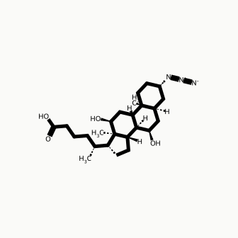 C[C@H](CCCC(=O)O)[C@H]1CC[C@H]2[C@@H]3[C@H](O)C[C@@H]4C[C@@H](N=[N+]=[N-])CC[C@]4(C)[C@H]3C[C@H](O)[C@]12C